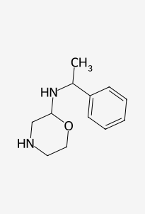 CC(NC1CNCCO1)c1ccccc1